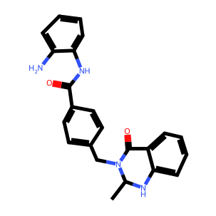 CC1Nc2ccccc2C(=O)N1Cc1ccc(C(=O)Nc2ccccc2N)cc1